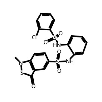 Cn1sc(=O)c2cc(S(=O)(=O)Nc3ccccc3NS(=O)(=O)c3ccccc3Cl)ccc21